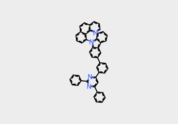 c1ccc(-c2cc(-c3cccc(-c4ccc5c(c4)c4ccccc4n5-c4cccc5ccc6cccnc6c45)c3)nc(-c3ccccc3)n2)cc1